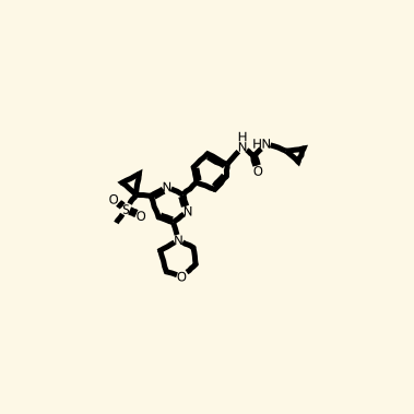 CS(=O)(=O)C1(c2cc(N3CCOCC3)nc(-c3ccc(NC(=O)NC4CC4)cc3)n2)CC1